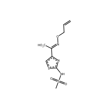 C=CCO/N=C(\C(=O)O)c1csc(NS(C)(=O)=O)n1